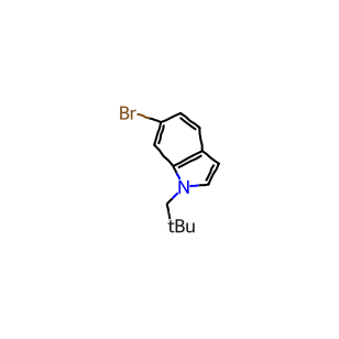 CC(C)(C)Cn1ccc2ccc(Br)cc21